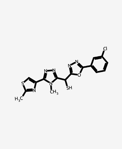 Cc1nc(-c2nnc(C(S)c3nnc(-c4cccc(Cl)c4)o3)n2C)cs1